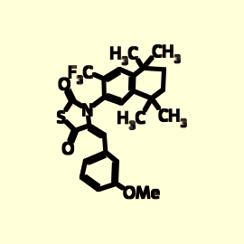 COc1cccc(C=C2C(=O)SC(=O)N2c2cc3c(cc2C(F)(F)F)C(C)(C)CCC3(C)C)c1